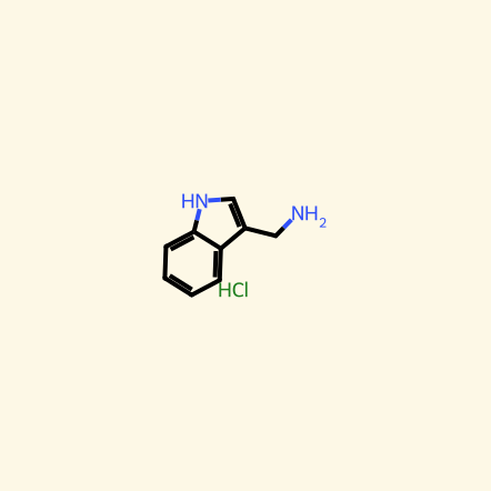 Cl.NCc1c[nH]c2ccccc12